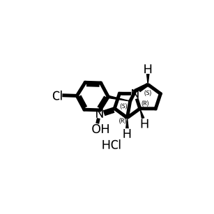 Cl.ON=C1CN2[C@H]3CC[C@@H]2[C@H]1[C@@H](c1ccc(Cl)cc1)C3